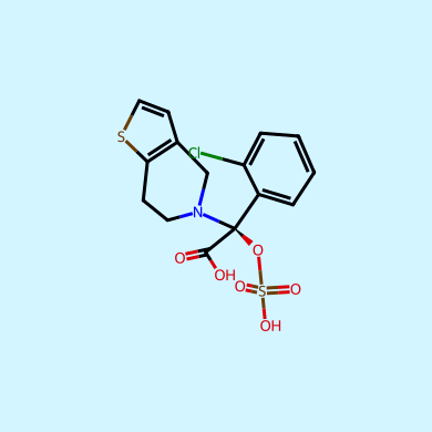 O=C(O)[C@@](OS(=O)(=O)O)(c1ccccc1Cl)N1CCc2sccc2C1